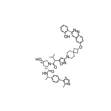 Cc1ncsc1-c1ccc(C(C)NC(=O)[C@@H]2C[C@@H](O)CN2C(=O)C(c2cc(N3CCC4(CC3)CC(Oc3ccc5nnc(-c6ccccc6O)cc5c3)C4)no2)C(C)C)cc1